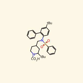 CC(C)(C)c1ccc(N(CC2CCN(C(=O)O)C(C(C)(C)C)C2)S(=O)(=O)c2ccccc2)c(-c2ccccc2)c1